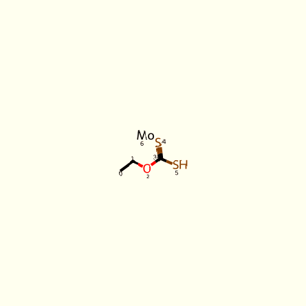 CCOC(=S)S.[Mo]